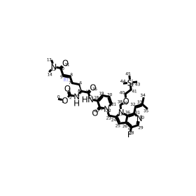 COC(=O)N[C@@H](CC/C=C/C(=O)N(C)C)C(=O)Nc1cccn(Cc2cc3c(F)cnc(C=C(C)C)c3n2COCC[Si](C)(C)C)c1=O